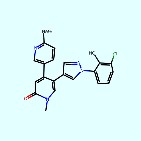 CNc1ccc(-c2cc(=O)n(C)cc2-c2cnn(-c3cccc(Cl)c3C#N)c2)cn1